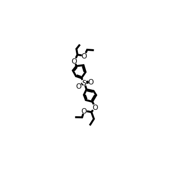 CCOC(CC)Oc1ccc(S(=O)(=O)c2ccc(OC(CC)OCC)cc2)cc1